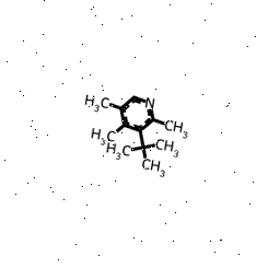 Cc1cnc(C)c(C(C)(C)C)c1C